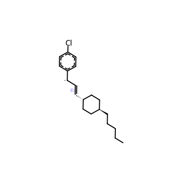 CCCCC[C@H]1CC[C@H](/C=C/[CH]c2ccc(Cl)cc2)CC1